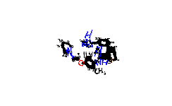 Cc1cc(OCCN2CCCCC2)ccc1Nc1nc2c(-c3nnc[nH]3)cccc2c2ccsc12